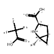 O=C(O)C(F)(F)F.O=C(O)[C@H]1CC2C[C@H]2N1